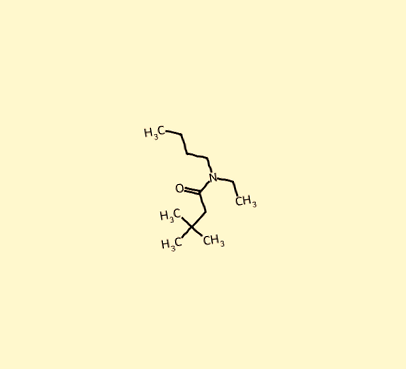 CCCCN(CC)C(=O)CC(C)(C)C